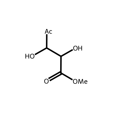 COC(=O)C(O)C(O)C(C)=O